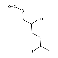 O=COCC(O)COC(F)F